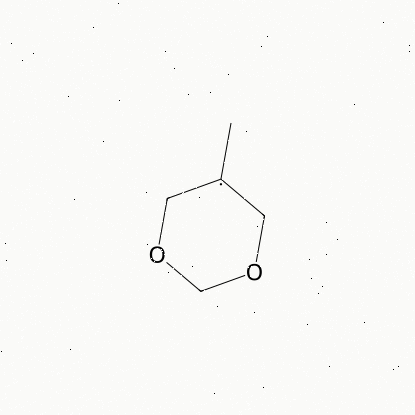 C[C]1COCOC1